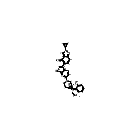 NC[C@]1(c2ccccc2F)[C@@H]2CCN(c3cnc4c(-c5ccc6nn(C7CC7)cc6c5Cl)n[nH]c4n3)C[C@@H]21